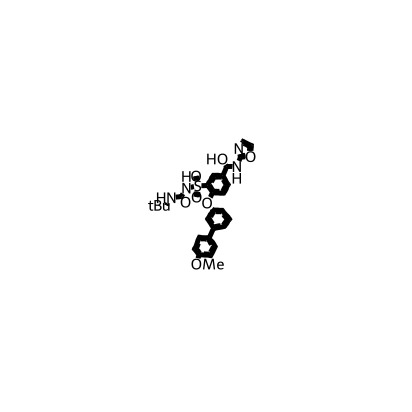 COc1ccc(-c2cccc(Oc3ccc(C(O)Nc4ncco4)cc3S(=O)(=O)NC(=O)NC(C)(C)C)c2)cc1